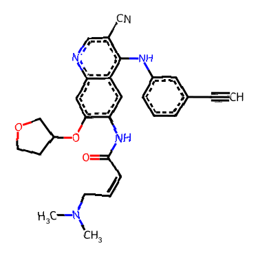 C#Cc1cccc(Nc2c(C#N)cnc3cc(OC4CCOC4)c(NC(=O)/C=C\CN(C)C)cc23)c1